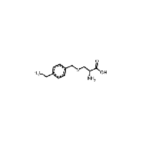 CCc1ccc(CSCC(N)C(=O)O)cc1